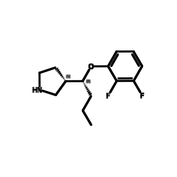 CCC[C@@H](Oc1cccc(F)c1F)[C@H]1CCNC1